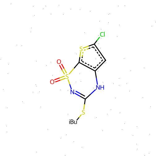 CCC(C)SC1=NS(=O)(=O)c2sc(Cl)cc2N1